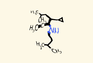 C=C=C(NCCC(C)C)C(CC(C)C)C1CC1